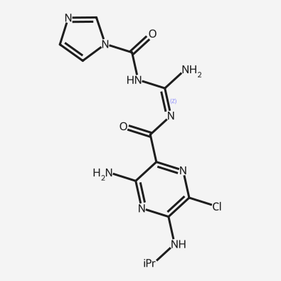 CC(C)Nc1nc(N)c(C(=O)/N=C(/N)NC(=O)n2ccnc2)nc1Cl